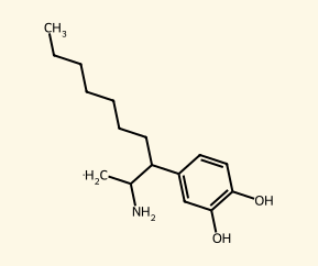 [CH2]C(N)C(CCCCCCC)c1ccc(O)c(O)c1